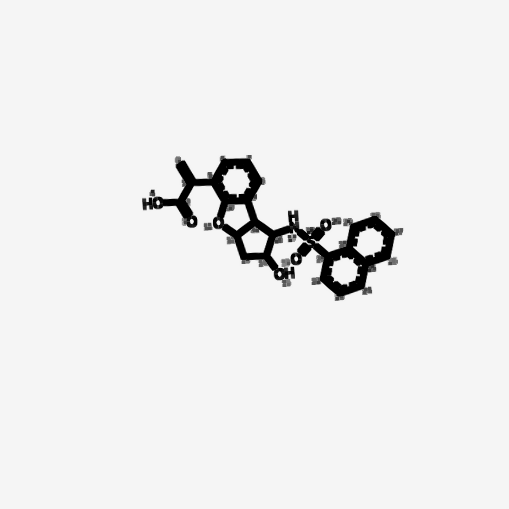 C=C(C(=O)O)c1cccc2c1OC1CC(O)C(NS(=O)(=O)c3cccc4ccccc34)C21